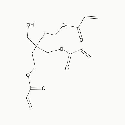 C=CC(=O)OCCC(CO)(CCOC(=O)C=C)COC(=O)C=C